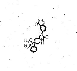 CN(C)[C@]1(c2ccccc2)CC[C@]2(CC1)CN(c1cccc(C(N)=O)c1)C(=O)N2